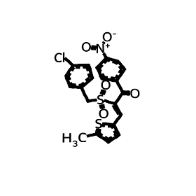 Cc1ccc(C=C(C(=O)c2ccc([N+](=O)[O-])cc2)S(=O)(=O)Cc2ccc(Cl)cc2)s1